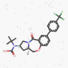 CC(C)(C)N(C(=O)O)[C@@H]1C[C@@H]2COc3ccc(-c4ccc(C(F)(F)F)cc4)cc3C(=O)N2C1